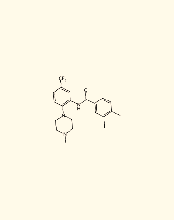 Cc1ccc(C(=O)Nc2cc(C(F)(F)F)ccc2N2CCN(C)CC2)cc1I